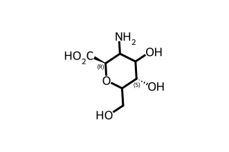 NC1C(O)[C@H](O)C(CO)O[C@H]1C(=O)O